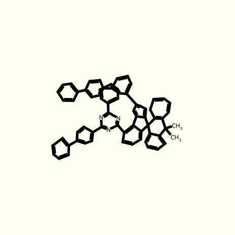 CC1(C)C2=C(CC=CC=C2)C2(c3ccc(-c4cccc(-c5ccc(-c6ccccc6)cc5)c4)cc3-c3c(-c4nc(-c5ccccc5)nc(-c5ccc(-c6ccccc6)cc5)n4)cccc32)c2ccccc21